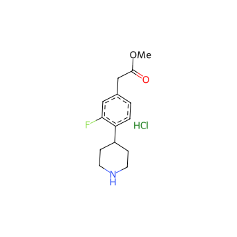 COC(=O)Cc1ccc(C2CCNCC2)c(F)c1.Cl